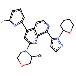 Cc1cccc(-c2cc(N3CCOCC3C)nc3c(-c4ccnn4C4CCCCO4)nccc23)n1